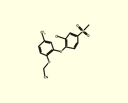 CS(=O)(=O)c1ccc(Oc2cc(C(F)(F)F)ccc2OCC#N)c(Cl)c1